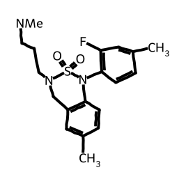 CNCCCN1Cc2cc(C)ccc2N(c2ccc(C)cc2F)S1(=O)=O